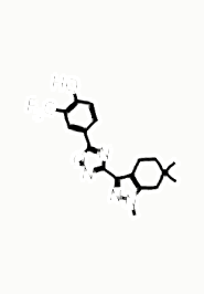 Cn1nc(-c2noc(-c3ccc(O)c(C(F)(F)F)c3)n2)c2c1CC(C)(C)CC2